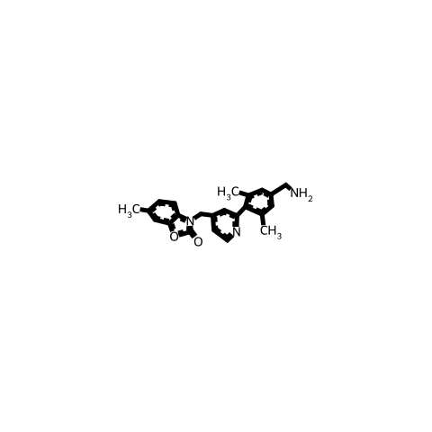 Cc1ccc2c(c1)oc(=O)n2Cc1ccnc(-c2c(C)cc(CN)cc2C)c1